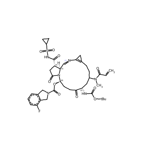 C=CC(=O)N(C)C1CCC2=C(C2)/N=C\[C@@H]2[C@@H](C(=O)NS(=O)(=O)C3CC3)CC(=O)N2[C@H](OC(=O)N2Cc3cccc(F)c3C2)CCC(=O)[C@@H](NC(=O)OC(C)(C)C)C1